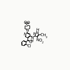 Cc1[nH]nc(Nc2cc(N3CCS(=O)(=O)CC3)ncc2C(=O)c2ccccc2Cl)c1[N+](=O)[O-]